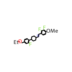 CCOCc1ccc(C2CCC(/C=C/c3ccc(OC)c(F)c3F)CC2)c(F)c1